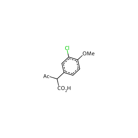 COc1ccc(C(C(C)=O)C(=O)O)cc1Cl